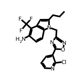 CCCc1cc2c(C(F)(F)F)c(N)ccc2n1Cc1noc(-c2cccnc2Cl)n1